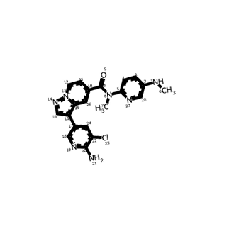 CNc1ccc(N(C)C(=O)c2ccn3ncc(-c4cnc(N)c(Cl)c4)c3c2)nc1